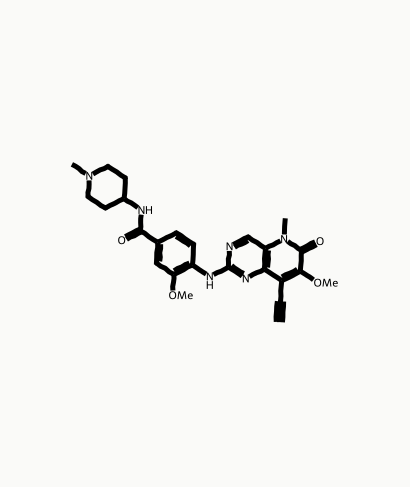 C#Cc1c(OC)c(=O)n(C)c2cnc(Nc3ccc(C(=O)NC4CCN(C)CC4)cc3OC)nc12